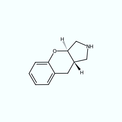 c1ccc2c(c1)C[C@H]1CNC[C@@H]1O2